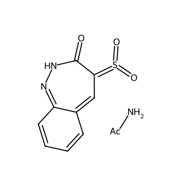 CC(N)=O.O=c1[nH]nc2ccccc2cc1=S(=O)=O